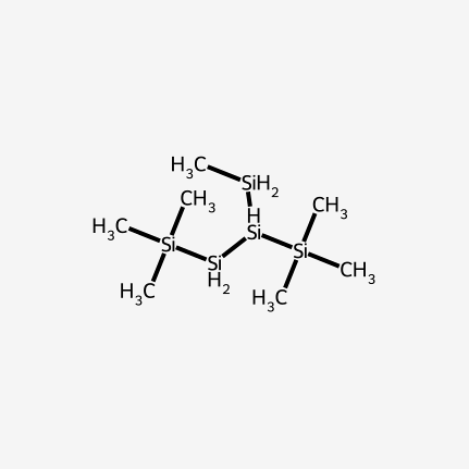 C[SiH2][SiH]([SiH2][Si](C)(C)C)[Si](C)(C)C